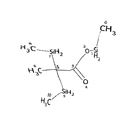 C[SiH2]OC(=O)C(C)([SiH2]C)[SiH2]C